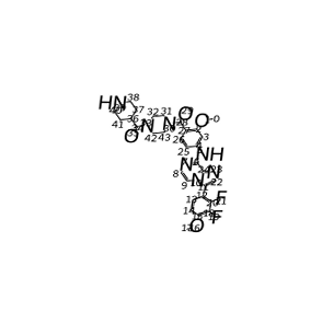 COc1cc(Nc2nccn3c(-c4ccc(OC)c(F)c4F)cnc23)ccc1C(=O)N1CCN(C(=O)C2CCNCC2)CC1